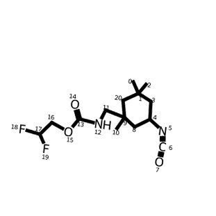 CC1(C)CC(N=C=O)CC(C)(CNC(=O)OCC(F)F)C1